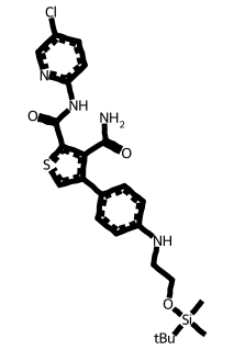 CC(C)(C)[Si](C)(C)OCCNc1ccc(-c2csc(C(=O)Nc3ccc(Cl)cn3)c2C(N)=O)cc1